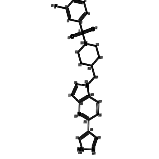 O=S(=O)(c1cccc(F)c1)N1CCC(Cn2ccc3nc(-c4cn[nH]c4)ccc32)CC1